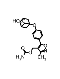 Cc1noc(-c2ccc(OC34CCCC(C3)C4C(=O)O)cc2)c1COC(N)=O